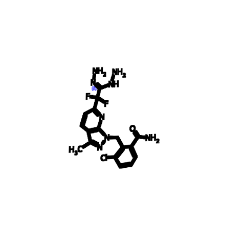 Cc1nn(Cc2c(Cl)cccc2C(N)=O)c2nc(C(F)(F)/C(=N/N)NN)ccc12